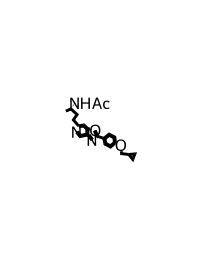 CC(=O)N[C@@H](C)CCc1cc2oc(-c3ccc(OCC4CC4)cc3)nc2cn1